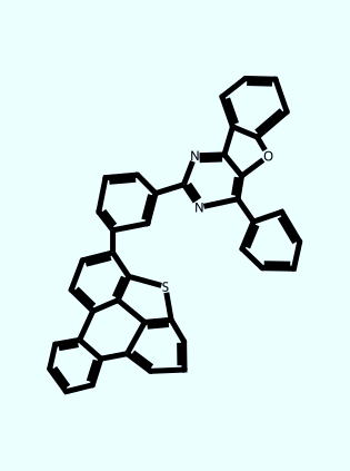 c1ccc(-c2nc(-c3cccc(-c4ccc5c6ccccc6c6cccc7sc4c5c76)c3)nc3c2oc2ccccc23)cc1